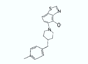 Cc1ccc(CC2CCN(c3ccc4scnc4c3[O])CC2)cc1